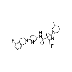 CC1CCCN(c2nc(CF)c(C(=O)Nc3ccc(N4CCc5c(F)cccc5C4)nc3)o2)C1